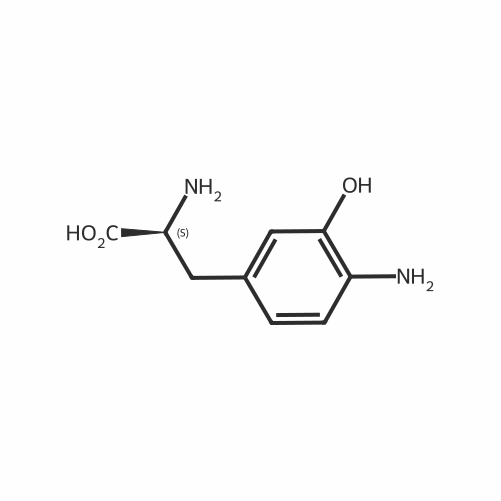 Nc1ccc(C[C@H](N)C(=O)O)cc1O